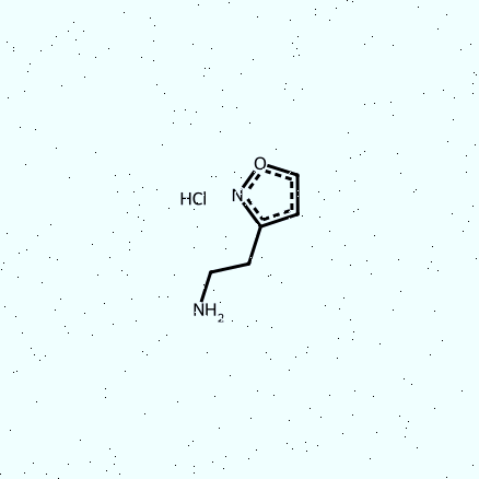 Cl.NCCc1ccon1